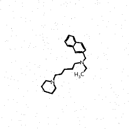 CCN(CCCCCN1CC[CH]CC1)Cc1ccc2ccccc2c1